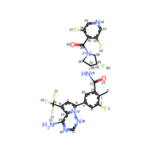 Cc1c(F)cc(-c2cc(C(F)(F)F)c3c(N)ncnn23)cc1C(=O)N[C@@H]1CN(C(=O)c2c(F)cncc2F)C[C@@H]1F